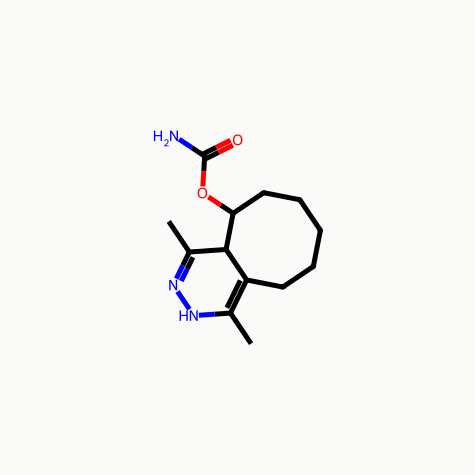 CC1=NNC(C)=C2CCCCCC(OC(N)=O)C12